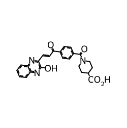 O=C(C=Cc1nc2ccccc2nc1O)c1ccc(C(=O)N2CCC(C(=O)O)CC2)cc1